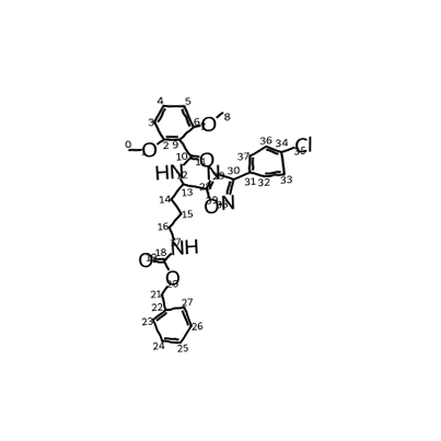 COc1cccc(OC)c1C(=O)NC(CCCNC(=O)OCc1ccccc1)c1nc(-c2ccc(Cl)cc2)no1